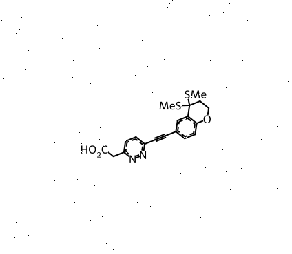 CSC1(SC)CCOc2ccc(C#Cc3ccc(CC(=O)O)nn3)cc21